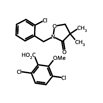 CC1(C)CON(Cc2ccccc2Cl)C1=O.COc1c(Cl)ccc(Cl)c1C(=O)O